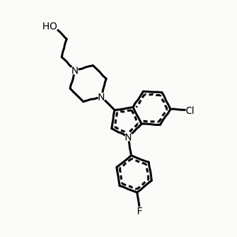 OCCN1CCN(c2cn(-c3ccc(F)cc3)c3cc(Cl)ccc23)CC1